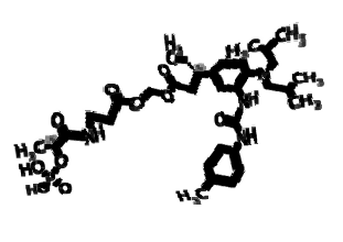 CC[C@@H](CC(=O)OCOC(=O)CCNC(=O)[C@H](C)OP(=O)(O)O)c1ccc(N(CC(C)C)CC(C)C)c(NC(=O)Nc2ccc(C)cc2)c1